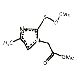 COOSc1nc(C)cn1CC(=O)OC